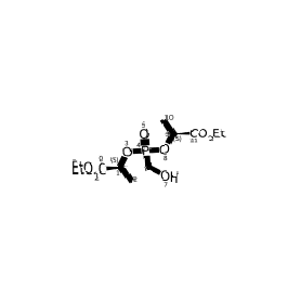 CCOC(=O)[C@H](C)OP(=O)(CO)O[C@@H](C)C(=O)OCC